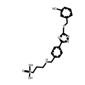 N#Cc1cccc(CSc2nnc(-c3ccc(CNCCCP(=O)(O)O)cc3)o2)c1